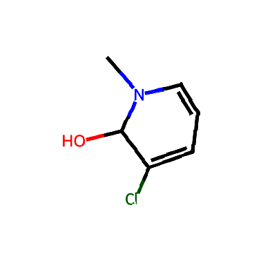 CN1C=CC=C(Cl)C1O